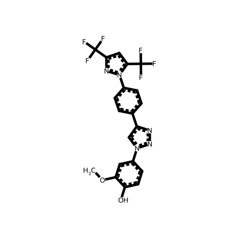 COc1cc(-n2cc(-c3ccc(-n4nc(C(F)(F)F)cc4C(F)(F)F)cc3)nn2)ccc1O